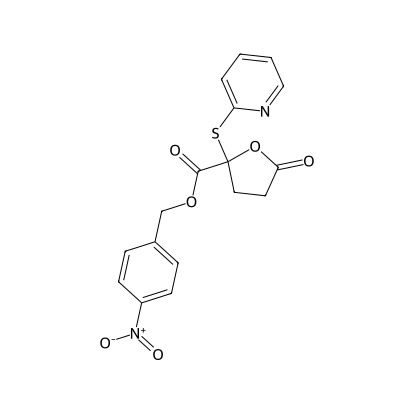 O=C1CCC(Sc2ccccn2)(C(=O)OCc2ccc([N+](=O)[O-])cc2)O1